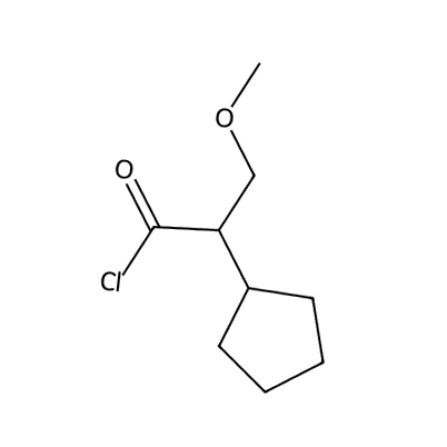 COCC(C(=O)Cl)C1CCCC1